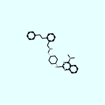 CN(C)c1nc(N[C@H]2CC[C@@H](CNCc3ccccc3CCc3ccccc3)CC2)nc2ccccc12